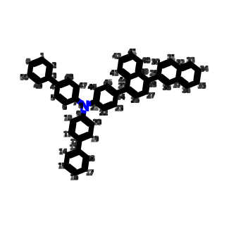 c1ccc(-c2ccc(N(c3ccc(-c4ccccc4)cc3)c3ccc(-c4ccc(-c5ccc6ccccc6c5)c5ccccc45)cc3)cc2)cc1